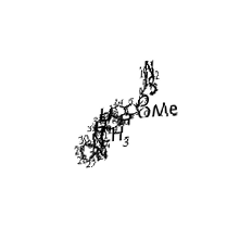 COc1cc2c(cc1OCc1cncs1)CC[C@@H]1[C@@H]2CC[C@]2(C)C(n3cnc4ccccc43)CC[C@@H]12